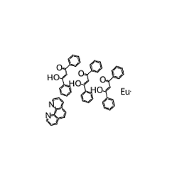 O=C(C=C(O)c1ccccc1)c1ccccc1.O=C(C=C(O)c1ccccc1)c1ccccc1.O=C(C=C(O)c1ccccc1)c1ccccc1.[Eu].c1cnc2c(c1)ccc1cccnc12